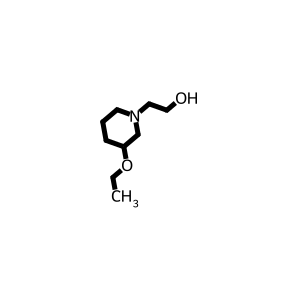 CCOC1CCCN(CCO)C1